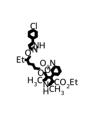 CCOC(=O)C1=C(C)NC(C)=C(C(=O)OCCCCC(CC)COc2cc(-c3ccc(Cl)cc3)[nH]n2)C1c1cccc([N+](=O)[O-])c1